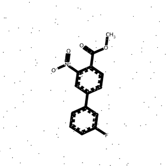 COC(=O)c1ccc(-c2cccc(F)c2)cc1[N+](=O)[O-]